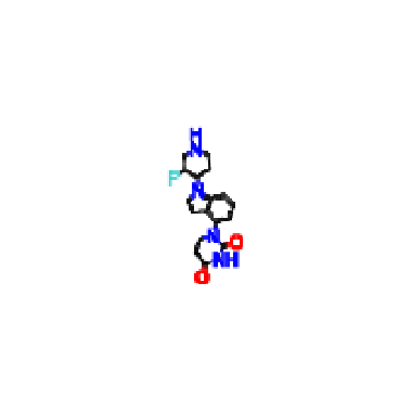 O=C1CCN(c2cccc3c2ccn3C2CCNCC2F)C(=O)N1